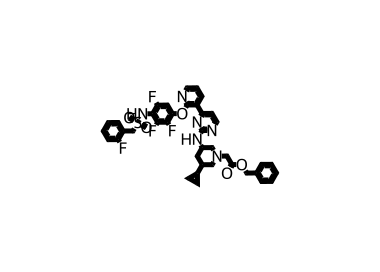 O=C(CN1CC(Nc2nccc(-c3cccnc3Oc3cc(F)c(NS(=O)(=O)Cc4ccccc4F)c(F)c3F)n2)CC(C2CC2)C1)OCc1ccccc1